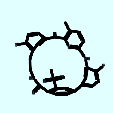 Cc1cnc2nc1Nc1ccc(F)c(c1)CCNC(=O)c1ccc(cc1S(C)(=O)=O)-c1cnc(F)c(c1)N2